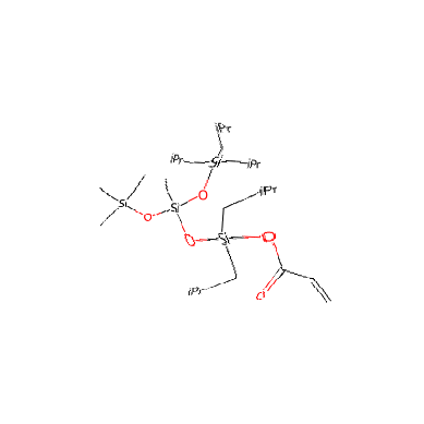 C=CC(=O)O[Si](CC(C)C)(CC(C)C)O[Si](C)(O[Si](C)(C)C)O[Si](C(C)C)(C(C)C)C(C)C